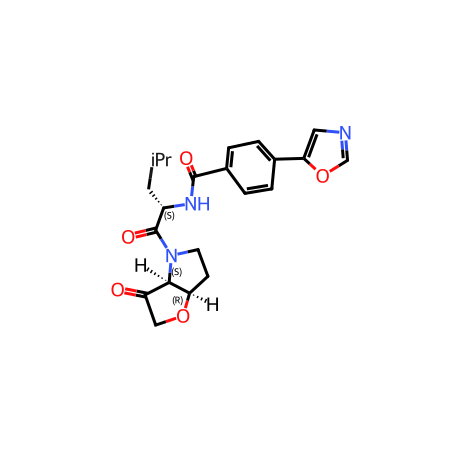 CC(C)C[C@H](NC(=O)c1ccc(-c2cnco2)cc1)C(=O)N1CC[C@H]2OCC(=O)[C@H]21